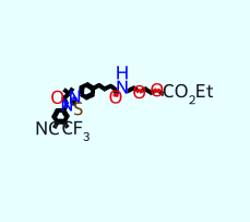 CCOC(=O)COCCOCCNC(=O)CCCc1ccc(N2C(=S)N(c3ccc(C#N)c(C(F)(F)F)c3)C(=O)C2(C)C)cc1